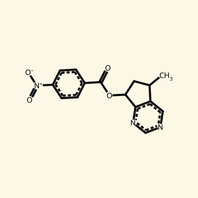 CC1CC(OC(=O)c2ccc([N+](=O)[O-])cc2)c2ncncc21